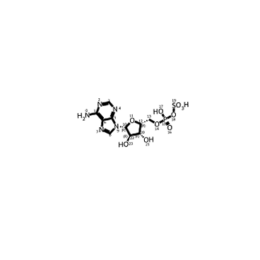 Nc1ncnc2c1ncn2[C@@H]1O[C@H](COP(=O)(O)OS(=O)(=O)O)[C@H](O)[C@H]1O